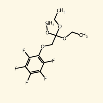 CCOC(COc1c(F)c(F)c(F)c(F)c1F)(O[SiH3])OCC